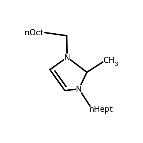 CCCCCCCCCN1C=CN(CCCCCCC)C1C